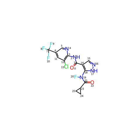 O=C(Nc1ncc(C(F)(F)F)cc1Cl)c1cn[nH]c1N(F)C(=O)C1CC1